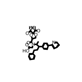 CC(C(CCc1ccccc1)c1ccc(-c2ccccn2)cc1)N(CC(=O)O)C(=O)C1COC(C(=O)O)(C(=O)O)O1